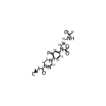 [C-]#[N+]CC(=O)N1CCN(c2ccc(N3C[C@H](CNC(C)=O)OC3=O)cc2F)C=N1